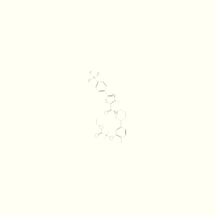 CCOC(=O)C(C)(C)Oc1cc(C2CCCN(C(=O)c3sc(-c4ccc(C(F)(F)F)cc4)nc3C)C2)ccc1C